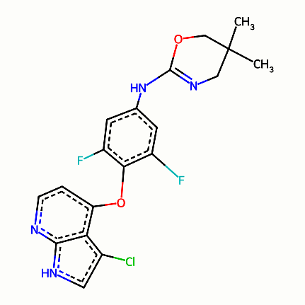 CC1(C)CN=C(Nc2cc(F)c(Oc3ccnc4[nH]cc(Cl)c34)c(F)c2)OC1